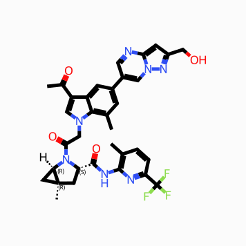 CC(=O)c1cn(CC(=O)N2[C@H](C(=O)Nc3nc(C(F)(F)F)ccc3C)C[C@@]3(C)C[C@@H]23)c2c(C)cc(-c3cnc4cc(CO)nn4c3)cc12